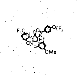 COc1cc(F)c([C@@H]2CN(c3nc(C(F)(F)F)ccc3C#N)C(=O)[C@H]2NC(=O)c2ccc(OC(F)(F)F)cc2)c(F)c1